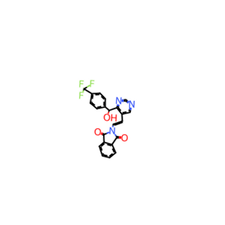 O=C1c2ccccc2C(=O)N1C=Cc1cncnc1C(O)c1ccc(C(F)(F)F)cc1